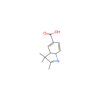 CC1=NC2C=CC(C(=O)O)=CC2C1(C)C